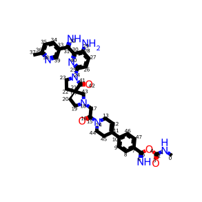 CNC(=O)OC(=N)c1ccc(C2=CCN(C(=O)CN3CC[C@]4(CCN(c5ccc(N)c(C(=N)c6ccc(C)nc6)n5)C4=O)C3)CC2)cc1